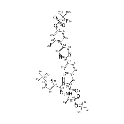 C[C@@H](NC(=O)[C@H](Cc1ccc(-c2ncc(-c3ccc(OS(=O)(=O)C(F)(F)F)cc3F)cn2)cc1)NC(=O)c1ccc(C(C)(C)C)s1)C(=O)OC(C)(C)C